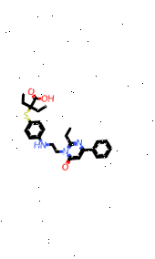 CCc1nc(-c2ccccc2)cc(=O)n1CCNc1ccc(SC(CC)(CC)C(=O)O)cc1